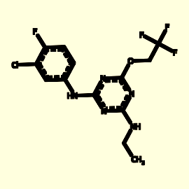 CCNc1nc(Nc2ccc(F)c(Cl)c2)nc(OCC(F)(F)F)n1